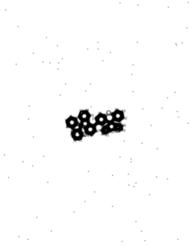 Cc1ccccc1C1(c2ccccc2O)c2ccccc2-c2c(-c3ccc4c(c3)C3(c5ccccc5O4)c4ccccc4-c4ccccc43)cccc21